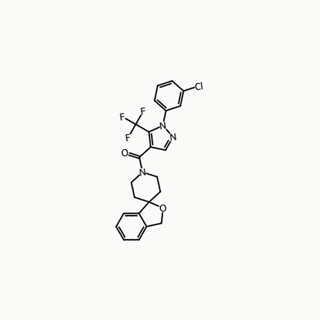 O=C(c1cnn(-c2cccc(Cl)c2)c1C(F)(F)F)N1CCC2(CC1)OCc1ccccc12